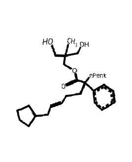 CCCCCC(CCC=CCC1CCCC1)(C(=O)OCC(C)(CO)CO)c1ccccc1